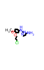 COc1ccc(Nc2nccc(N)n2)cc1OCCCCl